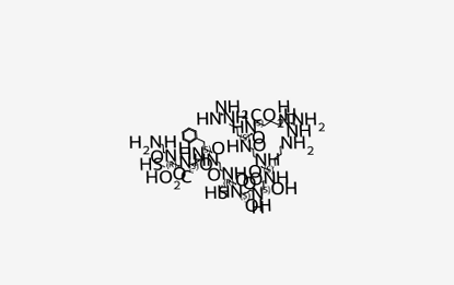 N=C(N)NCCC[C@H](NC(=O)[C@H](CCCNC(=N)N)NC(=O)CNC(=O)[C@H](CCCCN)NC(=O)[C@H](CO)NC(=O)[C@H](CO)NC(=O)[C@H](CS)NC(=O)CNC(=O)[C@H](Cc1ccccc1)NC(=O)[C@H](CC(=O)O)NC(=O)[C@H](CS)NC(=O)CN)C(=O)O